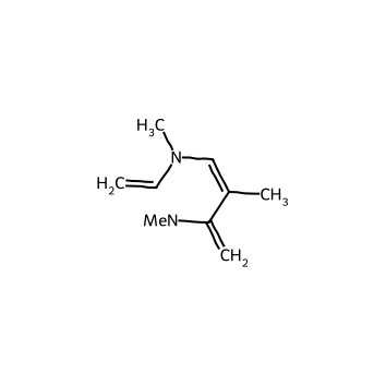 C=CN(C)/C=C(/C)C(=C)NC